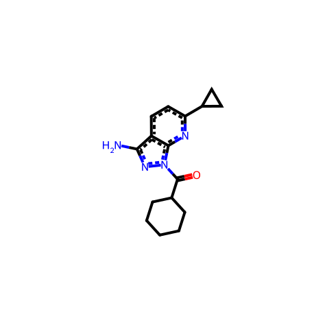 Nc1nn(C(=O)C2CCCCC2)c2nc(C3CC3)ccc12